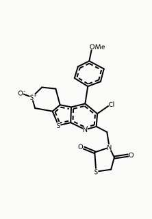 COc1ccc(-c2c(Cl)c(CN3C(=O)CSC3=O)nc3sc4c(c23)CC[S+]([O-])C4)cc1